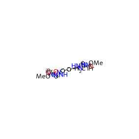 C=C([C@@H](NC(=O)OC)C(C)C)N1CCC[C@H]1c1ncc(C#Cc2ccc(-c3ccc4nc([C@@H]5CCCN5C(=O)[C@@H](NC(=O)OC)C(C)C)[nH]c4c3)cc2)[nH]1